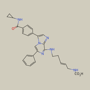 O=C(O)NCC=CCCNc1nc(-c2ccccc2)cn2c(-c3ccc(C(=O)NC4CC4)cc3)cnc12